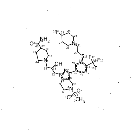 CS(=O)(=O)N1CCc2c(c(-c3ccc(C(F)(F)F)c(SCCN4CCC(F)CC4)c3)nn2CC(O)CN2CCC(C(N)=O)CC2)C1